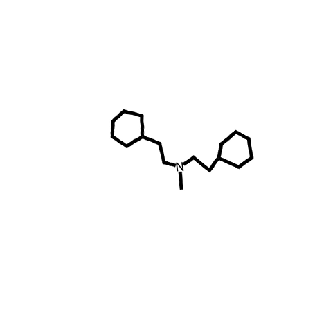 CN(CCC1CCCCC1)CCC1CCCCC1